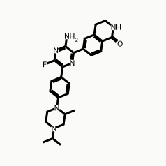 CC(C)N1CCN(c2ccc(-c3nc(-c4ccc5c(c4)CCNC5=O)c(N)nc3F)cc2)C(C)C1